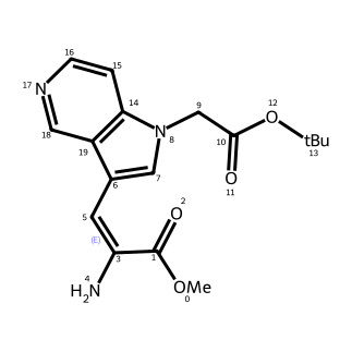 COC(=O)/C(N)=C\c1cn(CC(=O)OC(C)(C)C)c2ccncc12